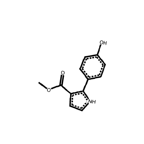 COC(=O)c1cc[nH]c1-c1ccc(O)cc1